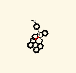 COc1ccc([Si@@H](c2ccccc2P2Cc3ccc4ccccc4c3-c3c(ccc4ccccc34)C2)C2CCCCC2)cc1